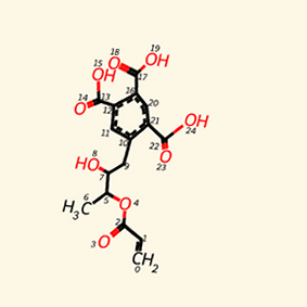 C=CC(=O)OC(C)C(O)Cc1cc(C(=O)O)c(C(=O)O)cc1C(=O)O